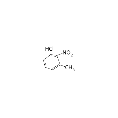 Cc1ccccc1[N+](=O)[O-].Cl